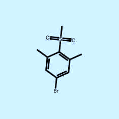 Cc1cc(Br)cc(C)c1S(C)(=O)=O